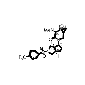 CN[C@@H](CC(C)(C)C)C(=O)N(CC1CC1)[C@H]1CC[C@@H]2CN(S(=O)(=O)c3ccc(C(F)(F)F)cc3)C[C@@H]21